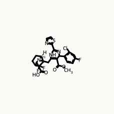 COC(=O)C1=C(CN2C(C(=O)O)C3CC[C@H]2CC3(F)F)NC(c2nccs2)=NC1c1ccc(F)cc1Cl